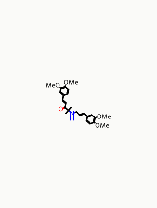 COc1ccc(/C=C/CNC(C)(C)C(=O)/C=C/c2ccc(OC)c(OC)c2)cc1OC